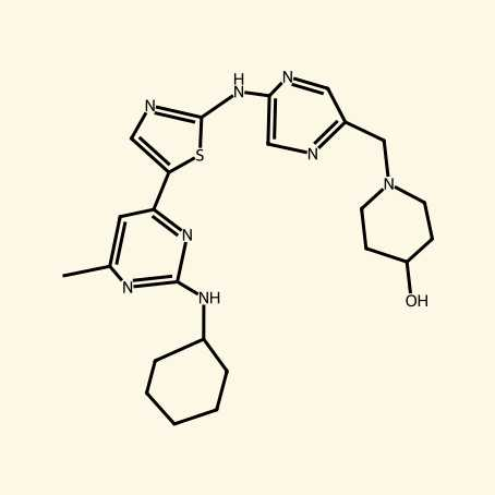 Cc1cc(-c2cnc(Nc3cnc(CN4CCC(O)CC4)cn3)s2)nc(NC2CCCCC2)n1